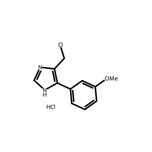 COc1cccc(-c2[nH]cnc2CCl)c1.Cl